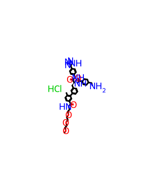 COCCOCCOCCNC(=O)c1ccc(C)c(-c2cccc(C[C@H](NC(=O)C3CCC(CN)CC3)C(=O)Nc3ccc(-c4nnn[nH]4)cc3)c2)c1.Cl